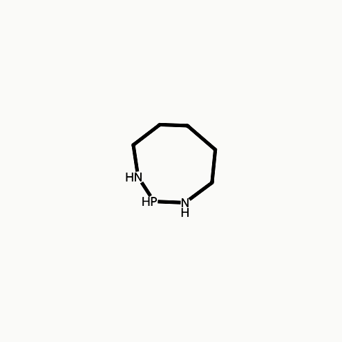 C1CCNPNCC1